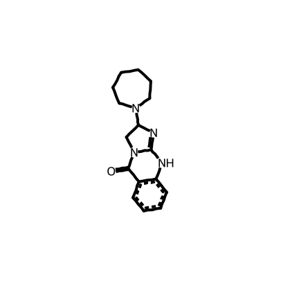 O=C1c2ccccc2NC2=NC(N3CCCCCC3)CN12